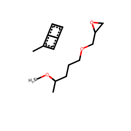 CC(CCCOCC1CO1)O[SiH3].Cc1cc2ccc1-2